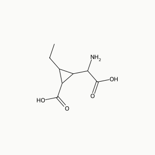 CCC1C(C(=O)O)C1C(N)C(=O)O